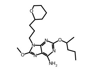 CCCC(C)Oc1nc(N)c2nc(OC)n(CCCC3CCCCO3)c2n1